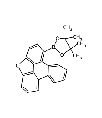 CC1(C)OB(c2ccc3oc4cccc5c6ccccc6c2c3c45)OC1(C)C